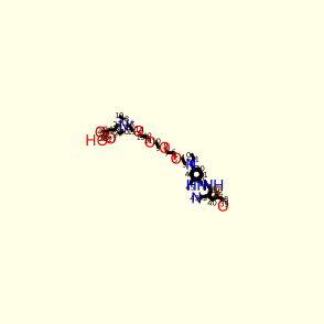 CCN(CCOCCOCCOCCOCC[N+](CC)(CC)CCCS(=O)(=O)O)c1ccc(NNc2sc(C=O)cc2C#N)c(C)c1